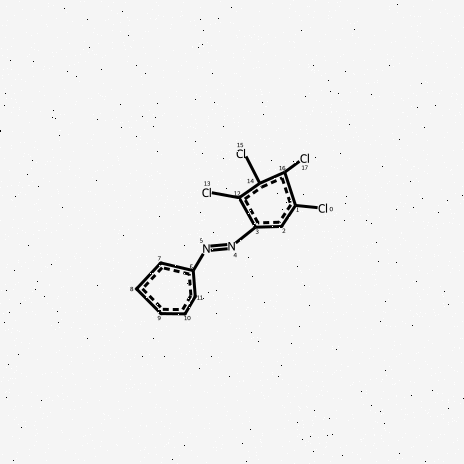 Clc1cc(N=Nc2ccccc2)c(Cl)c(Cl)c1Cl